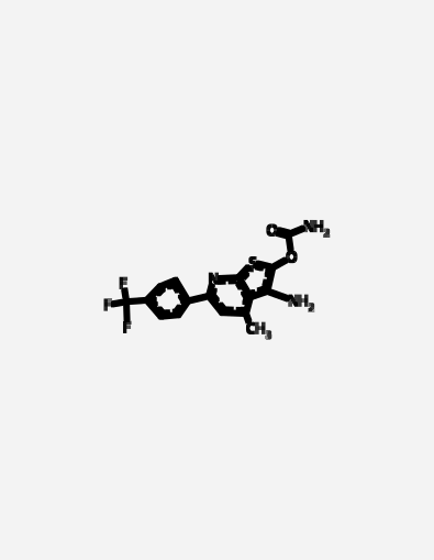 Cc1cc(-c2ccc(C(F)(F)F)cc2)nc2sc(OC(N)=O)c(N)c12